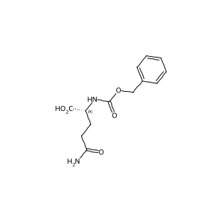 NC(=O)CC[C@@H](NC(=O)OCc1ccccc1)C(=O)O